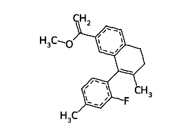 C=C(OC)c1ccc2c(c1)C(c1ccc(C)cc1F)=C(C)CC2